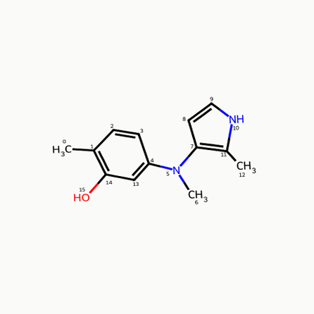 Cc1ccc(N(C)c2cc[nH]c2C)cc1O